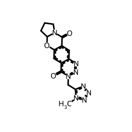 Cn1nnnc1Cn1nnc2cc3c(cc2c1=O)OC1CCCN1C3=O